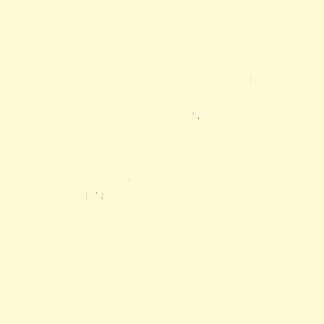 Cc1ccc2c(n1)Cc1[nH]c(C(C)C)cc1C2